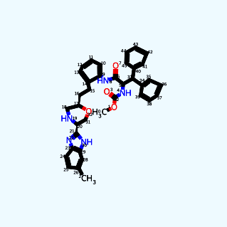 COC(=O)NC(C(=O)Nc1ccccc1CC[C@@H]1CN[C@H](c2nc3ccc(C)cc3[nH]2)CO1)C(c1ccccc1)c1ccccc1